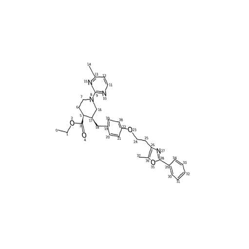 CCOC(=O)[C@H]1CCN(c2nccc(C)n2)C[C@H]1Cc1ccc(OCCc2nc(-c3ccccc3)oc2C)cc1